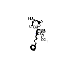 CN1CC(=O)OB(C(/C=C/CCOCc2ccccc2)NS(=O)(=O)OCC(Cl)(Cl)Cl)OC(=O)C1